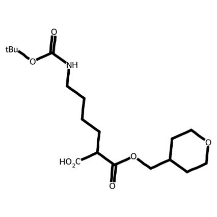 CC(C)(C)OC(=O)NCCCCC(C(=O)O)C(=O)OCC1CCOCC1